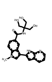 Cn1cc(-c2cc3cccnc3[nH]2)c2cc(C(=O)NC(CO)(CO)CO)ccc21